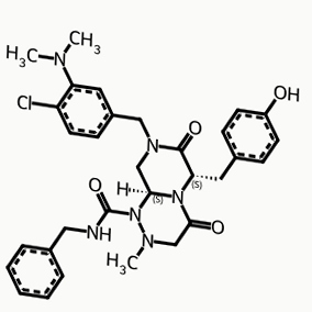 CN(C)c1cc(CN2C[C@H]3N(C(=O)CN(C)N3C(=O)NCc3ccccc3)[C@@H](Cc3ccc(O)cc3)C2=O)ccc1Cl